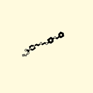 CC(C)(C)OC(=O)N1CCN(CCOCCOc2ccc(OCc3ccccc3)cc2)CC1